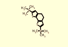 C[Si](C)(C)c1cc2c(s1)-c1sc([Si](C)(C)C)cc1CC2